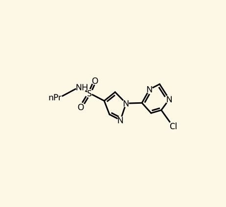 CCCNS(=O)(=O)c1cnn(-c2cc(Cl)ncn2)c1